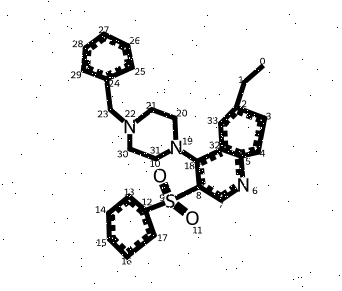 CCc1ccc2ncc(S(=O)(=O)c3ccccc3)c(N3CCN(Cc4ccccc4)CC3)c2c1